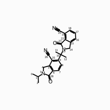 CC(C)N1Cc2c(ccc(C(C)(C)N3Cc4cccc(C#N)c4C3=O)c2C#N)C1=O